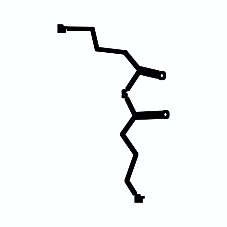 O=C(CCCBr)SC(=O)CCCBr